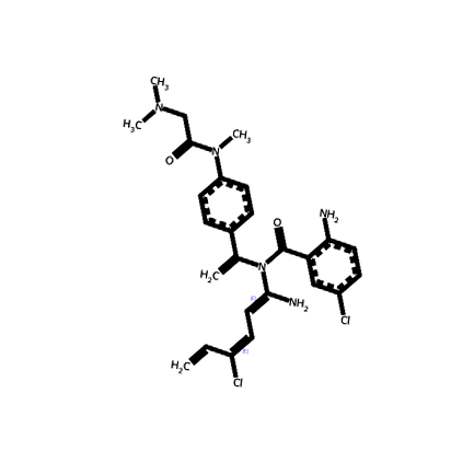 C=C/C(Cl)=C\C=C(/N)N(C(=C)c1ccc(N(C)C(=O)CN(C)C)cc1)C(=O)c1cc(Cl)ccc1N